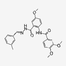 COc1ccc(NC(=O)c2ccc(OC)c(OC)c2)c(C(=O)NN=Cc2cccc(C)c2)c1